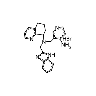 Br.Nc1ccncc1CN(Cc1nc2ccccc2[nH]1)C1CCCc2cccnc21